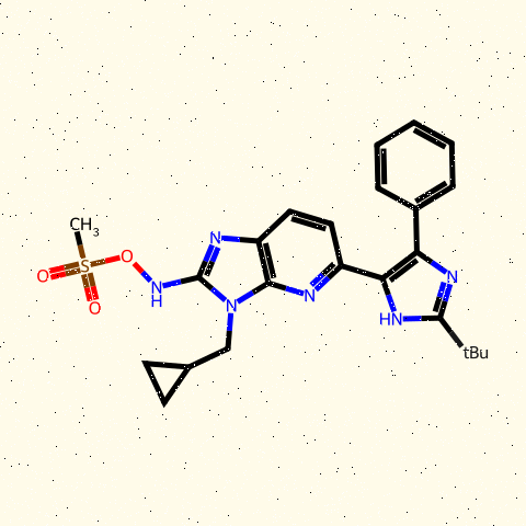 CC(C)(C)c1nc(-c2ccccc2)c(-c2ccc3nc(NOS(C)(=O)=O)n(CC4CC4)c3n2)[nH]1